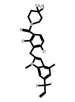 C=CC(F)(F)c1cc(C)c2cc(Cc3c(Cl)ccc(C(=O)N4CCC(F)(C(=O)O)CC4)c3Cl)n(C)c2c1